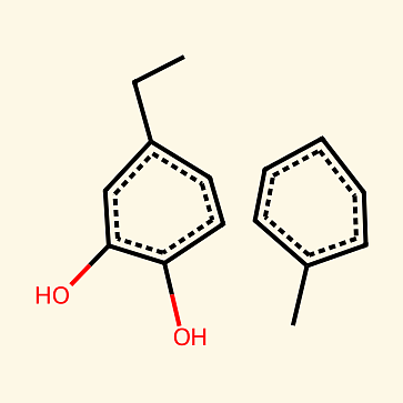 CCc1ccc(O)c(O)c1.Cc1ccccc1